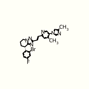 Cc1cn(-c2cnc(/C=C/c3nc4n(n3)CCC[C@H]4c3ccc(F)cc3Br)cc2C)cn1